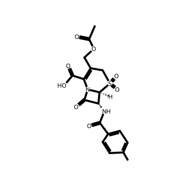 CC(=O)OCC1=C(C(=O)O)N2C(=O)[C@@H](NC(=O)c3ccc(C)cc3)[C@@H]2S(=O)(=O)C1